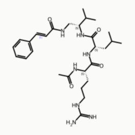 CC(=O)N[C@@H](CCCNC(=N)N)C(=O)N[C@@H](CC(C)C)C(=O)N[C@H](CNC(=O)/C=C/c1ccccc1)C(C)C